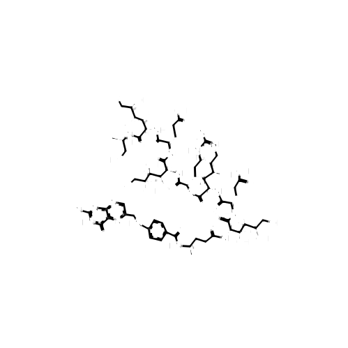 C[C@H](CCC(=O)N[C@H](C(=O)N[C@@H](CCC(=O)O)C(=O)N[C@H](C(=O)N[C@@H](CCCNC(=N)N)C(=O)N[C@H](C(=O)N[C@@H](CCC(=O)O)C(=O)N[C@H](C(=O)N[C@H](C)CS)[C@@H](O)[C@H](O)[C@H](O)CO)[C@@H](O)[C@H](O)[C@H](O)CO)[C@@H](O)[C@H](O)[C@H](O)CO)[C@@H](O)[C@H](O)[C@H](O)CO)NC(=O)c1ccc(NCc2cnc3nc(N)[nH]c(=O)c3n2)cc1